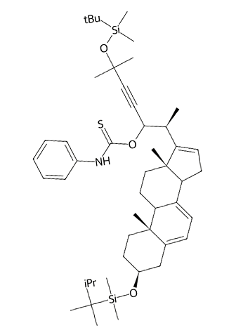 CC(C)C(C)(C)[Si](C)(C)O[C@H]1CC[C@@]2(C)C(=CC=C3C2CC[C@]2(C)C([C@H](C)C(C#CC(C)(C)O[Si](C)(C)C(C)(C)C)OC(=S)Nc4ccccc4)=CCC32)C1